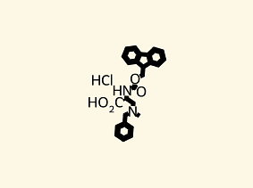 CN(Cc1ccccc1)C[C@H](NC(=O)OCC1c2ccccc2-c2ccccc21)C(=O)O.Cl